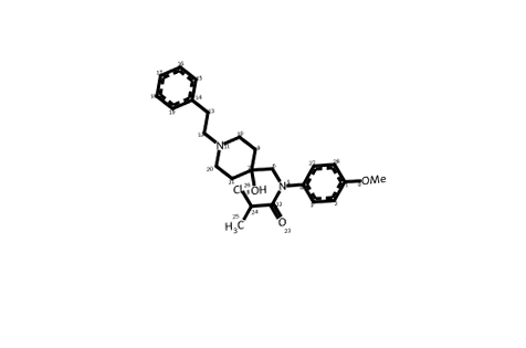 COc1ccc(N(CC2(O)CCN(CCc3ccccc3)CC2)C(=O)C(C)Cl)cc1